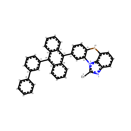 CCc1nc2cccc3c2n1-c1cc(-c2c4ccccc4c(-c4cccc(-c5ccccc5)c4)c4ccccc24)ccc1S3